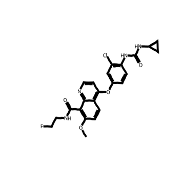 COc1ccc2c(Oc3ccc(NC(=O)NC4CC4)c(Cl)c3)ccnc2c1C(=O)NCCF